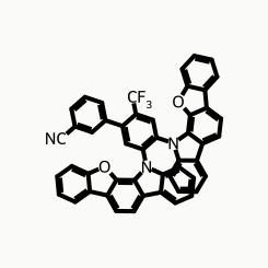 N#Cc1cccc(-c2cc(-n3c4ccccc4c4ccc5c6ccccc6oc5c43)c(-n3c4ccccc4c4ccc5c6ccccc6oc5c43)cc2C(F)(F)F)c1